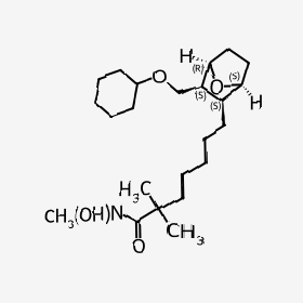 CN(O)C(=O)C(C)(C)CCCCC[C@H]1[C@@H](COC2CCCCC2)[C@H]2CC[C@@H]1O2